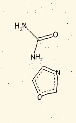 NC(N)=O.c1cocn1